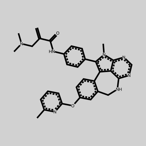 C=C(CN(C)C)C(=O)Nc1ccc(-c2c3c4c(ncnc4n2C)NCc2cc(Oc4cccc(C)n4)ccc2-3)cc1